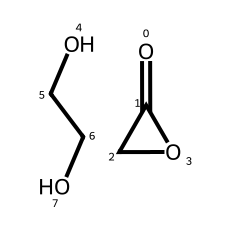 O=C1CO1.OCCO